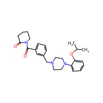 CC(C)Oc1ccccc1N1CCN(Cc2cccc(C(=O)N3CCCCC3=O)c2)CC1